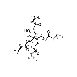 C=CC(=O)OCC(COC(=O)C=C)C(CO)(COC(=O)C=C)COC(=O)C=C